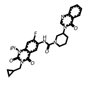 CC(C)n1c(=O)n(CC2CC2)c(=O)c2cc(NC(=O)N3CCCC(n4cnc5ccccc5c4=O)C3)c(F)cc21